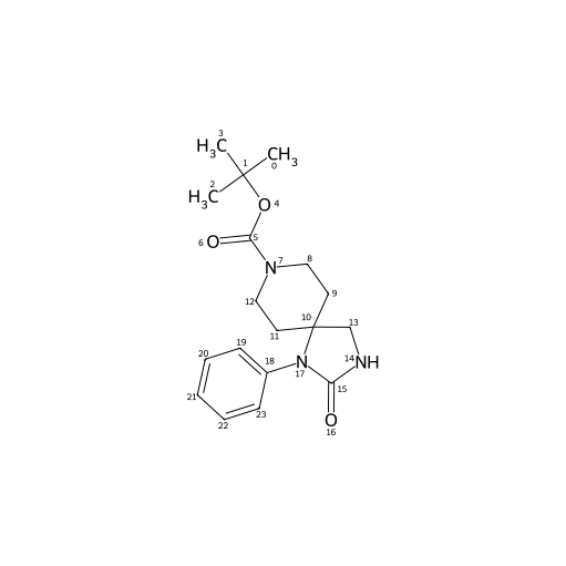 CC(C)(C)OC(=O)N1CCC2(CC1)CNC(=O)N2c1ccccc1